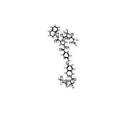 CN[C@@H](C)C(=O)NC(C(=O)N1CCc2cc(OCc3ccc(C(=O)N[C@H]4C[C@@H](C(=O)N[C@@H]5CCCc6ccccc65)N(C(=O)[C@@H](NC(=O)[C@H](C)NC)C(C)(C)C)C4)cc3)ccc2C1)C(C)(C)C